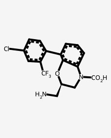 NC[C@@H]1CN(C(=O)O)c2cccc(-c3ccc(Cl)cc3C(F)(F)F)c2O1